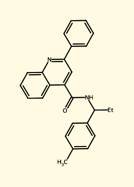 CCC(NC(=O)c1cc(-c2ccccc2)nc2ccccc12)c1ccc(C)cc1